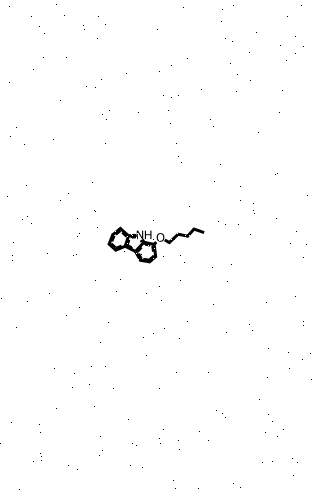 CCCCCOc1cccc2c1[nH]c1ccccc12